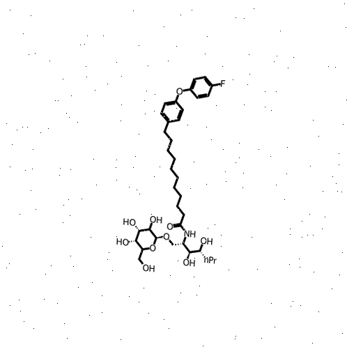 CCC[C@@H](O)[C@@H](O)[C@H](CO[C@H]1OC(CO)[C@H](O)[C@H](O)C1O)NC(=O)CCCCCCCCCCc1ccc(Oc2ccc(F)cc2)cc1